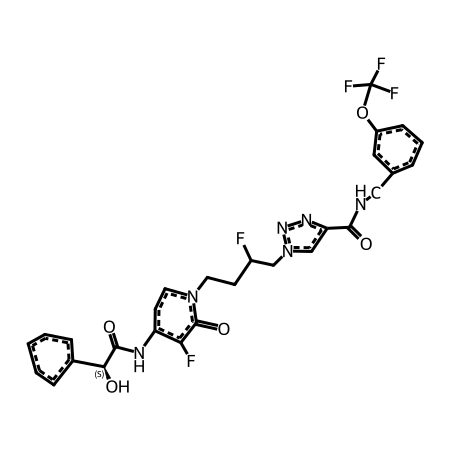 O=C(NCc1cccc(OC(F)(F)F)c1)c1cn(CC(F)CCn2ccc(NC(=O)[C@@H](O)c3ccccc3)c(F)c2=O)nn1